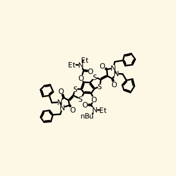 CCCCN(CC)C(=O)Oc1c2c(c(OC(=O)N(CC)CC)c3c1SC(=C1C(=O)N(Cc4ccccc4)N(Cc4ccccc4)C1=O)S3)SC(=C1C(=O)N(Cc3ccccc3)N(Cc3ccccc3)C1=O)S2